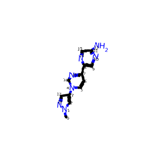 Cn1cc(N2C=CC(c3cnc(N)cn3)=NC2)cn1